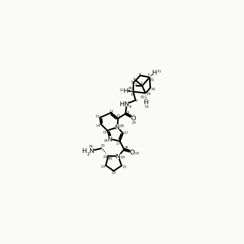 CC1(C)[C@H]2CC[C@@H](CNC(=O)c3cccc4nc(C(=O)N5CCC[C@@H]5CN)cn34)[C@@H]1C2